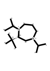 CC(C)N1CCCN(C(C)C)[C@@H](C(C)(C)C)C1